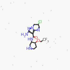 Nc1nn2c(c1C(=O)NC1CNCCC1OCC(F)(F)F)N=CC(Cl)C2